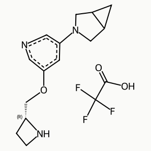 O=C(O)C(F)(F)F.c1ncc(N2CC3CC3C2)cc1OC[C@H]1CCN1